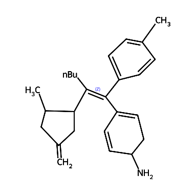 C=C1CC(C)C(/C(CCCC)=C(\C2=CCC(N)C=C2)c2ccc(C)cc2)C1